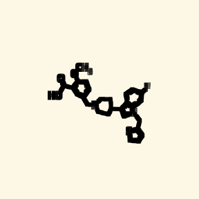 COc1ccc(CN2CCC(c3cn(Cc4cccs4)c4cc(F)ccc34)CC2)cc1C(=O)O